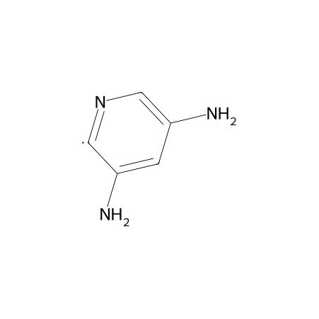 Nc1[c]ncc(N)c1